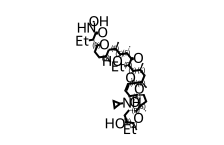 CCC(C(=O)NO)[C@H]1CC[C@H](C)C([C@@H](C)[C@H](O)[C@H](C)C(=O)[C@H](CC)[C@H]2O[C@]3(C=CC(NC4CC4)[C@]4(CC[C@@](C)([C@H]5CC[C@](O)(CC)[C@H](C)O5)O4)O3)[C@H](C)C[C@@H]2C)O1